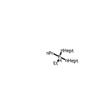 CCCCCCC[PH](CC)(CCC)CCCCCCC